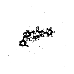 CCOC(=O)C1(Cc2cccc(C)c2)CC(CNC(=O)c2cc(-c3ccccn3)nn2C(C)C)=NO1